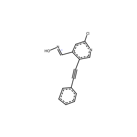 O/N=C/c1cc(Cl)ncc1C#Cc1ccccc1